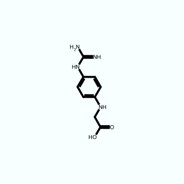 N=C(N)Nc1ccc(NCC(=O)O)cc1